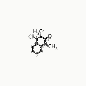 Cc1c(Cl)c2ccccc2n(C)c1=O